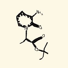 CC(C(=O)OC(C)(C)C)n1cccc(N)c1=O